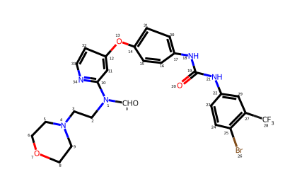 O=CN(CCN1CCOCC1)c1cc(Oc2ccc(NC(=O)Nc3ccc(Br)c(C(F)(F)F)c3)cc2)ccn1